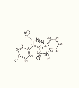 Cc1ccc(-c2c(C=O)nn3c2c(=O)n(C)c2ccccc23)cc1